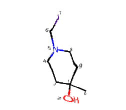 CC1(O)CCN(CI)CC1